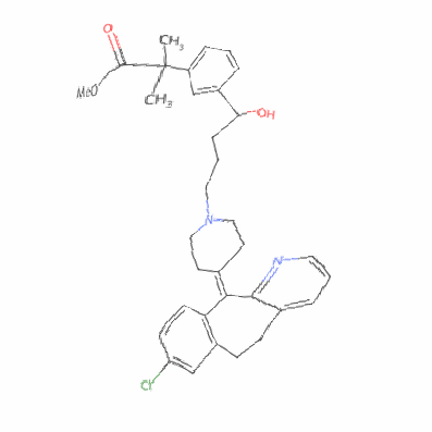 COC(=O)C(C)(C)c1cccc(C(O)CCCN2CCC(=C3c4ccc(Cl)cc4CCc4cccnc43)CC2)c1